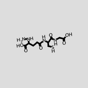 NNC(CCC(=O)NC(CS)C(=O)NCC(=O)O)C(=O)O